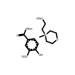 CCCCCCCCCC(=O)c1ccc(O)c(C(=O)[O-])c1.CCCCCCCCCCCC[N+]1(C)CCOCC1